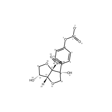 O=[N+]([O-])Oc1ccc([C@@]2(O)CO[C@@H]3[C@H](O)CO[C@@]32[SH](=O)=O)cc1